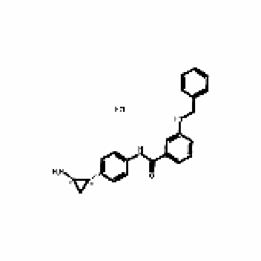 Cl.N[C@@H]1C[C@H]1c1ccc(NC(=O)c2cccc(NCc3ccccc3)c2)cc1